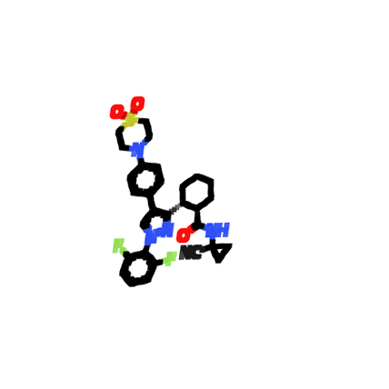 N#CC1(NC(=O)[C@@H]2CCCC[C@H]2c2nn(-c3c(F)cccc3F)cc2-c2ccc(N3CCS(=O)(=O)CC3)cc2)CC1